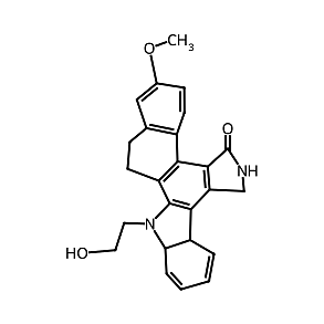 COc1ccc2c(c1)CCc1c-2c2c(c3c1N(CCO)C1C=CC=CC31)CNC2=O